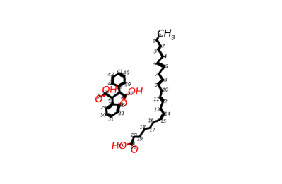 CCC=CCC=CCC=CCC=CC/C=C\CCCCCC(=O)O.O=C(O)C(c1ccccc1)C(C(=O)O)c1ccccc1